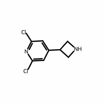 Clc1cc(C2CNC2)cc(Cl)n1